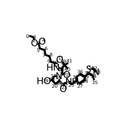 CCOC(=O)CCCCCC(=O)N[C@H](C(=O)N1C[C@H](O)C[C@H]1C(=O)NCc1ccc(-c2scnc2C)cc1)C(C)(C)C